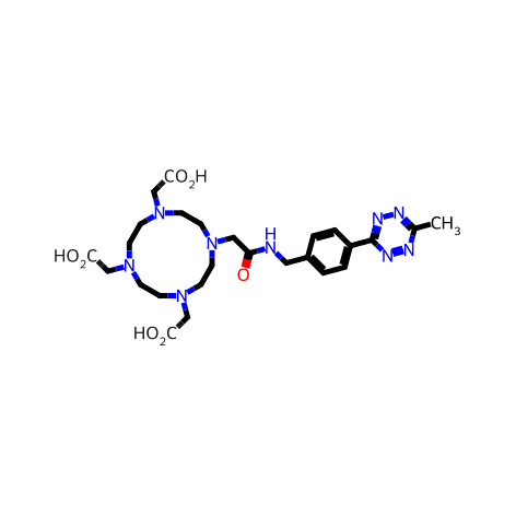 Cc1nnc(-c2ccc(CNC(=O)CN3CCN(CC(=O)O)CCN(CC(=O)O)CCN(CC(=O)O)CC3)cc2)nn1